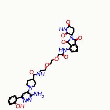 Nc1nnc(-c2ccccc2O)cc1N1CCC(C(=O)NCCOCCOCC(=O)Nc2cccc3c2C(=O)N(C2CCC(=O)NC2=O)C3=O)CC1